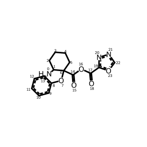 NC1CCCCC1(Oc1ccccc1)C(=O)OC(=O)c1nnco1